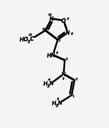 N/C=C\N(N)CNc1nonc1C(=O)O